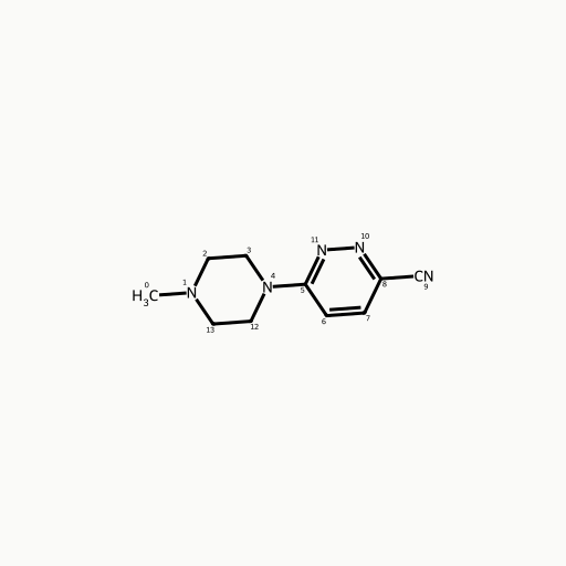 CN1CCN(c2ccc(C#N)nn2)CC1